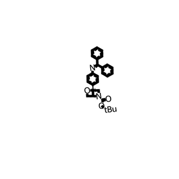 CC(C)(C)OC(=O)N1C[C@@]2(c3ccc(N=C(c4ccccc4)c4ccccc4)cc3)OCC12